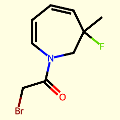 CC1(F)C=CC=CN(C(=O)CBr)C1